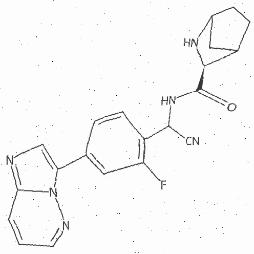 N#CC(NC(=O)[C@H]1NC2CCC1C2)c1ccc(-c2cnc3cccnn23)cc1F